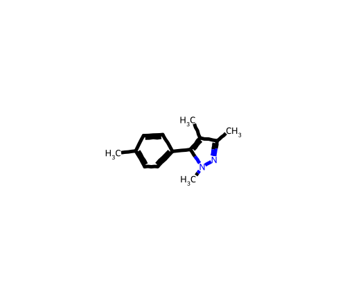 Cc1ccc(-c2c(C)c(C)nn2C)cc1